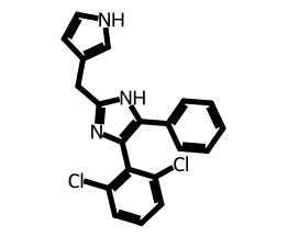 Clc1cccc(Cl)c1-c1nc(Cc2cc[nH]c2)[nH]c1-c1ccccc1